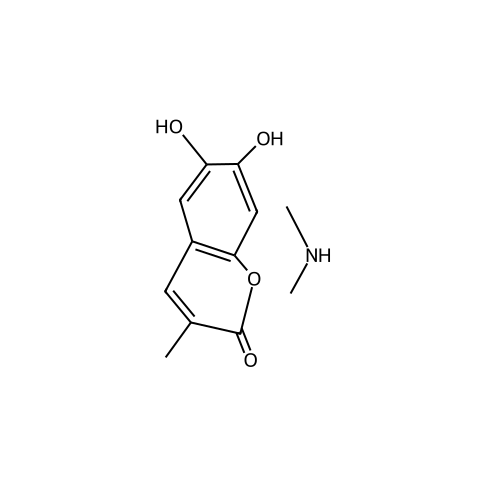 CNC.Cc1cc2cc(O)c(O)cc2oc1=O